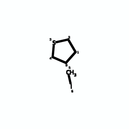 C1CCSC1.CI